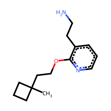 CC1(CCOc2ncccc2CCN)CCC1